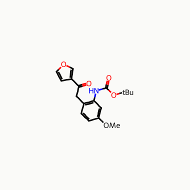 COc1ccc(CC(=O)c2ccoc2)c(NC(=O)OC(C)(C)C)c1